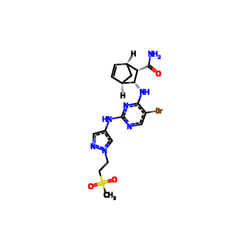 CS(=O)(=O)CCn1cc(Nc2ncc(Br)c(N[C@H]3[C@@H](C(N)=O)[C@@H]4C=C[C@H]3C4)n2)cn1